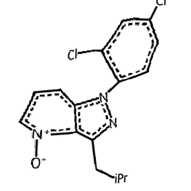 CC(C)Cc1nn(-c2ccc(Cl)cc2Cl)c2ccc[n+]([O-])c12